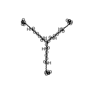 O=C(CCOCCOCCOCCNC(=O)CCOCC1(COCCC(=O)NCCOCCOCCOCCC(=O)NCCCCCCCC(=O)ON2C(=O)CCC2=O)CC1OCCC(=O)NCCOCCOCCOCCC(=O)NCCCCCCCC(=O)ON1C(=O)CCC1=O)NCCCCCCCC(=O)ON1C(=O)CCC1=O